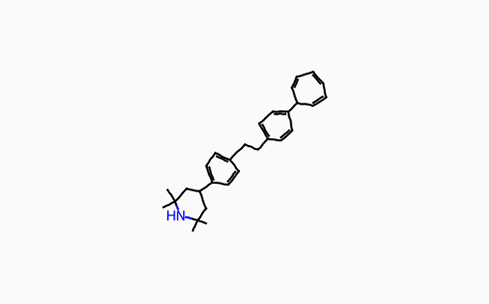 CC1(C)CC(c2ccc(CCc3ccc(C4C=CC=CC=C4)cc3)cc2)CC(C)(C)N1